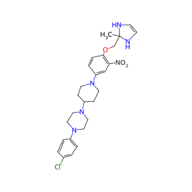 CC1(COc2ccc(N3CCC(N4CCN(c5ccc(Cl)cc5)CC4)CC3)cc2[N+](=O)[O-])NC=CN1